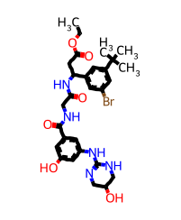 CCOC(=O)CC(NC(=O)CNC(=O)c1cc(O)cc(NC2=NCC(O)CN2)c1)c1cc(Br)cc(C(C)(C)C)c1